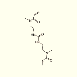 C=CC(=O)N(C)CCNC(=O)NCCN(C)C(=O)C=C